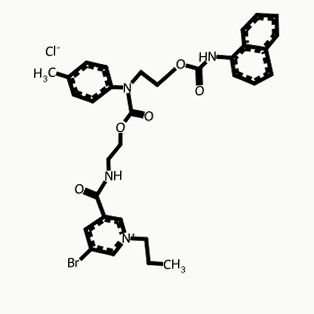 CCC[n+]1cc(Br)cc(C(=O)NCCOC(=O)N(CCOC(=O)Nc2cccc3ccccc23)c2ccc(C)cc2)c1.[Cl-]